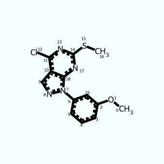 COc1cccc(-n2ncc3c(Cl)nc(SC)nc32)c1